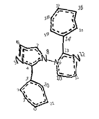 c1ccc(-c2nccn2-n2ccnc2-c2ccccc2)cc1